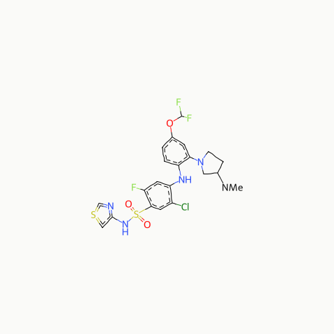 CNC1CCN(c2cc(OC(F)F)ccc2Nc2cc(F)c(S(=O)(=O)Nc3cscn3)cc2Cl)C1